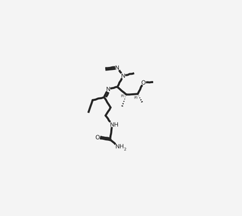 C=NN(C)C(N=C(CC)CCNC(N)=O)[C@@H](C)[C@@H](C)OC